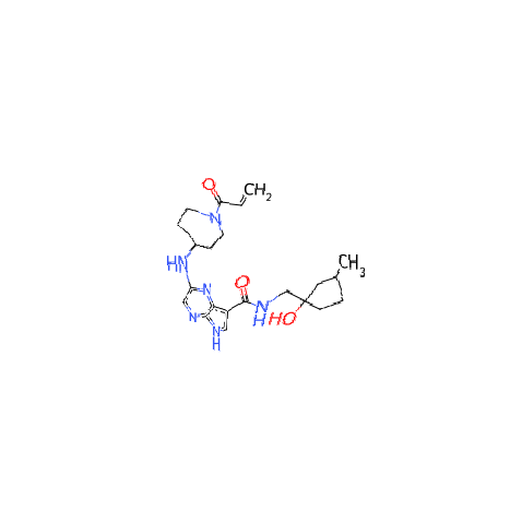 C=CC(=O)N1CCC(Nc2cnc3[nH]cc(C(=O)NCC4(O)CCC(C)C4)c3n2)CC1